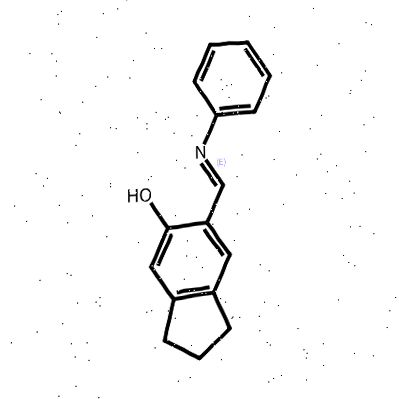 Oc1cc2c(cc1/C=N/c1ccccc1)CCC2